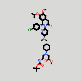 COC(=O)CN(CCNC(=O)OC(C)(C)C)[C@H]1CC[C@H](CN(C)c2ccc(N3C(=O)Cc4cc(OC)c(OC(C)C)cc4[C@@H]3c3ccc(Cl)cc3)nc2)CC1